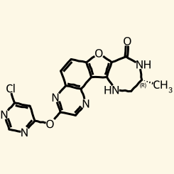 C[C@@H]1CNc2c(oc3ccc4nc(Oc5cc(Cl)ncn5)cnc4c23)C(=O)N1